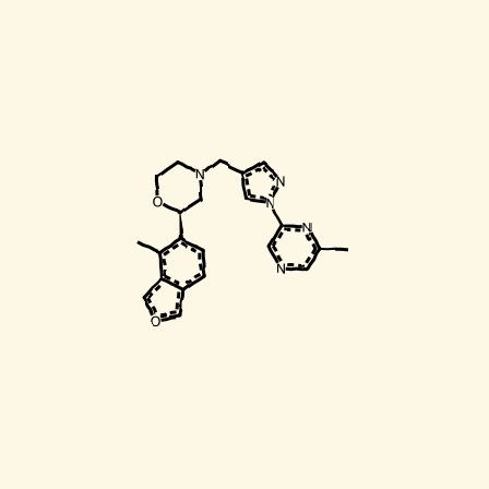 Cc1cncc(-n2cc(CN3CCO[C@H](c4ccc5cocc5c4C)C3)cn2)n1